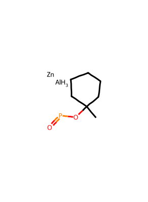 CC1(OP=O)CCCCC1.[AlH3].[Zn]